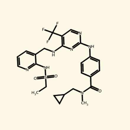 CCS(=O)(=O)Nc1ncccc1CNc1nc(Nc2ccc(C(=O)N(C)CC3CC3)cc2)ncc1C(F)(F)F